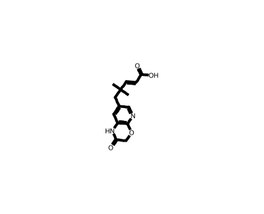 CC(C)(C=CC(=O)O)Cc1cnc2c(c1)NC(=O)CO2